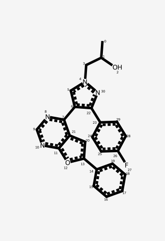 CC(O)Cn1cc(-c2ncnc3oc(-c4ccccc4)cc23)c(-c2ccc(F)cc2)n1